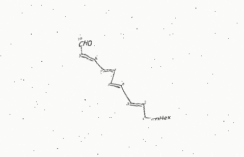 CCCCCCCC=CC=CC=CC=CC=O